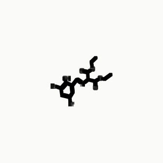 CCOC(=O)C(/N=C/c1cc(Br)cc(Br)c1O)C(=O)OCC